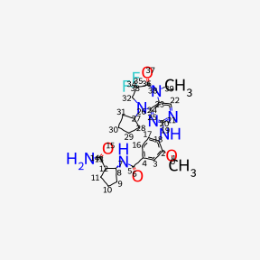 COc1cc(C(=O)N[C@H]2CCC[C@H]2C(N)=O)ccc1Nc1ncc2c(n1)N(C1CCCC1)CC(F)(F)C(=O)N2C